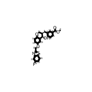 COC(=O)c1cccc(C[C@@H]2COc3ccc(OCc4nc5cc(F)ccc5s4)cc3[C@H]2O)c1